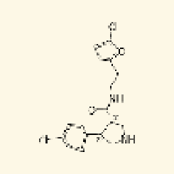 O=C(NCCc1ccc(Cl)o1)[C@@H]1CNC[C@H]1c1ccc(Cl)cc1